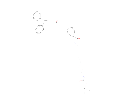 CC(C)(C)OC(=O)NCCOCCOCCNC(=O)c1ccc(CNC(=O)OCC2c3ccccc3-c3ccccc32)cc1